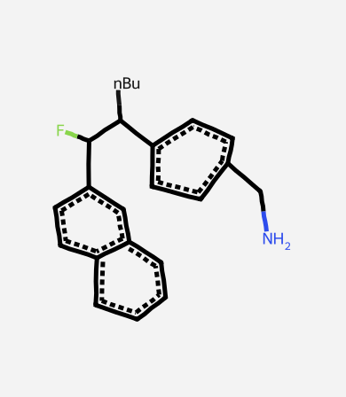 CCCCC(c1ccc(CN)cc1)C(F)c1ccc2ccccc2c1